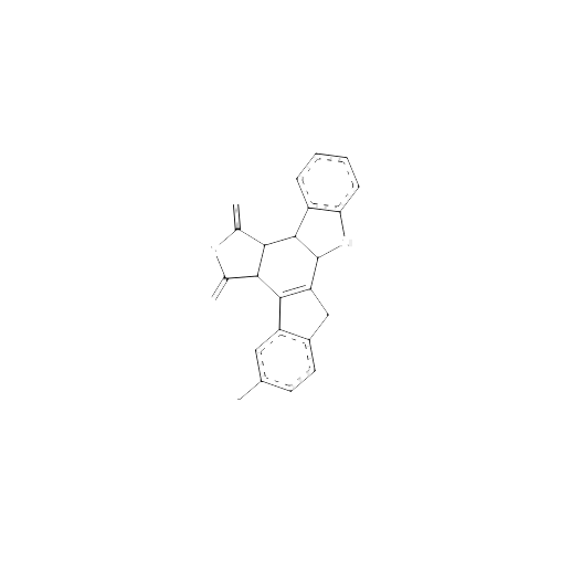 O=C1NC(=O)C2C1C1=C(Cc3ccc(Cl)cc31)C1Nc3ccccc3C12